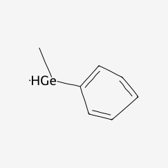 [CH3][GeH][c]1ccccc1